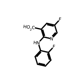 O=C(O)c1cc(F)cnc1Nc1ccccc1F